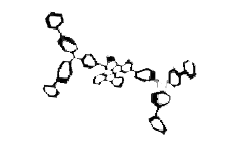 c1ccc(-c2ccc(C(c3ccc(-c4ccccc4)cc3)c3ccc(-c4ccc5c(c4)C4(c6ccccc6-c6ccccc64)c4cc(-c6ccc(N(c7ccc(-c8ccccc8)cc7)c7ccc(-c8ccccc8)cc7)cc6)ccc4-5)cc3)cc2)cc1